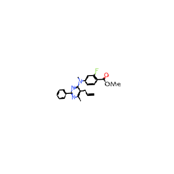 C=CCc1c(C)nc(-c2ccccc2)nc1N(C)c1ccc(C(=O)OC)c(F)c1